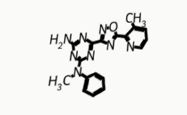 Cc1cccnc1-c1nc(-c2nc(N)nc(N(C)c3ccccc3)n2)no1